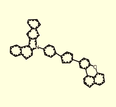 c1ccc2cc3c(cc2c1)c1c2ccccc2ccc1n3-c1ccc(-c2ccc(-c3ccc4c(c3)-c3cccc5cccc(c35)O4)cc2)cc1